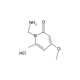 COc1cc(C)n(CN)c(=O)c1.Cl